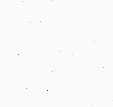 CCN(CC)CCNC(=O)c1cnc(-c2cccc([N+](=O)[O-])c2)c2ccccc12